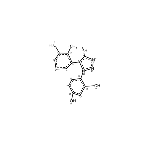 Cc1cccc(-c2c(S)nnn2-c2ccc(O)cc2O)c1C